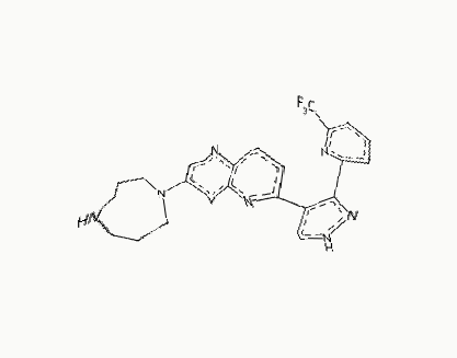 FC(F)(F)c1cccc(-c2n[nH]cc2-c2ccc3ncc(N4CCCNCC4)cc3n2)n1